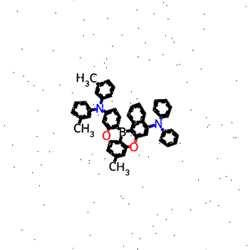 Cc1cccc(N(c2cccc(C)c2)c2ccc3c(c2)Oc2cc(C)cc4c2B3c2c(cc(N(c3ccccc3)c3ccccc3)c3ccccc23)O4)c1